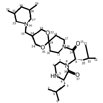 CC(C)C[C@@H]1NCCN([C@@H](CC(C)C)C(=O)N2CCC3(CC2)OCC(CN2CC(C)CC(C)C2)CO3)C1=O